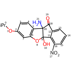 CC(C)Oc1ccc2c(c1)OC1(O)c3c(cccc3[N+](=O)[O-])C(=O)C21N